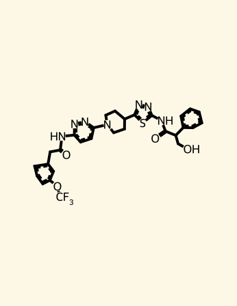 O=C(Cc1cccc(OC(F)(F)F)c1)Nc1ccc(N2CCC(c3nnc(NC(=O)C(CO)c4ccccc4)s3)CC2)nn1